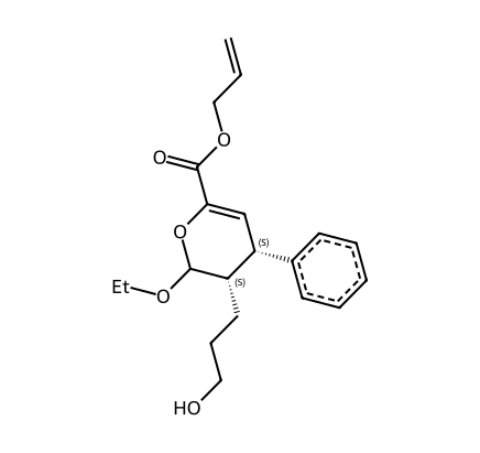 C=CCOC(=O)C1=C[C@H](c2ccccc2)[C@H](CCCO)C(OCC)O1